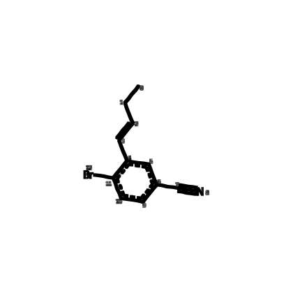 CCC=Cc1cc(C#N)ccc1Br